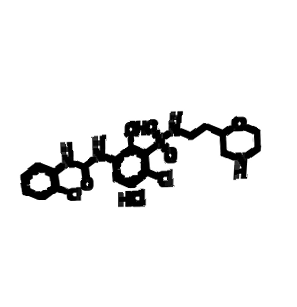 Cl.O=C(Nc1ccccc1Cl)Nc1ccc(Cl)c(S(=O)(=O)NCCC2CNCCO2)c1O